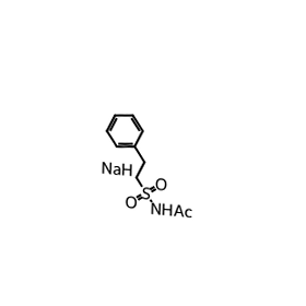 CC(=O)NS(=O)(=O)CCc1ccccc1.[NaH]